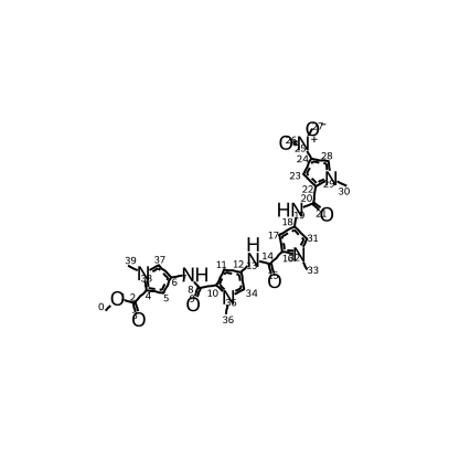 COC(=O)c1cc(NC(=O)c2cc(NC(=O)c3cc(NC(=O)c4cc([N+](=O)[O-])cn4C)cn3C)cn2C)cn1C